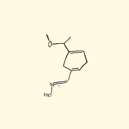 COC(C)C1=CCC=C(/C=N/O)C1